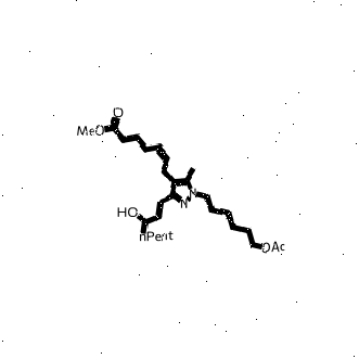 CCCCCC(O)/C=C/c1nn(CCCCCCOC(C)=O)c(C)c1C/C=C\CCCC(=O)OC